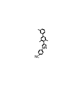 Cc1cccc(-c2cc(C)c(-c3cnn(-c4ccc(C#N)cc4)c3)c(C)c2)c1